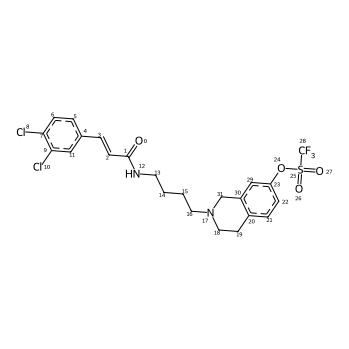 O=C(C=Cc1ccc(Cl)c(Cl)c1)NCCCCN1CCc2ccc(OS(=O)(=O)C(F)(F)F)cc2C1